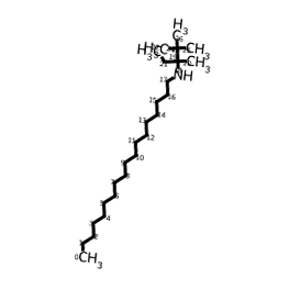 CCCCCCCCCCCCCCCCCCNC(C)(CC)C(C)(C)C